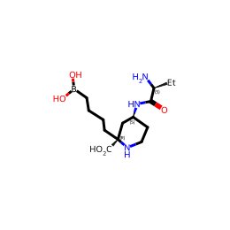 CC[C@H](N)C(=O)N[C@H]1CCN[C@@](CCCCB(O)O)(C(=O)O)C1